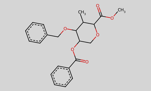 COC(=O)C1OCC(OC(=O)c2ccccc2)C(OCc2ccccc2)C1C